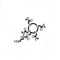 CN(C)C(=O)CN1CCCN(CC(=O)N(C)C)CCN(CC(=O)N(C)C)C(COC(=O)NCCCS)CN(CC(=O)N(C)C)CC1